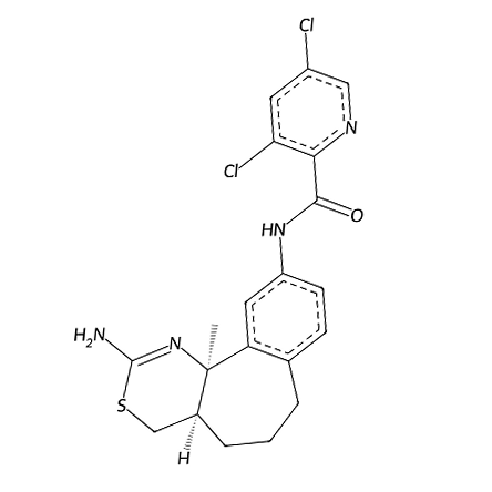 C[C@@]12N=C(N)SC[C@@H]1CCCc1ccc(NC(=O)c3ncc(Cl)cc3Cl)cc12